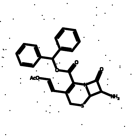 CC(=O)OC=CC1=C(C(=O)OC(c2ccccc2)c2ccccc2)N2C(=O)C(N)C2SC1